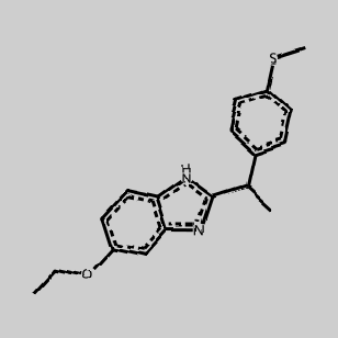 CCOc1ccc2[nH]c(C(C)c3ccc(SC)cc3)nc2c1